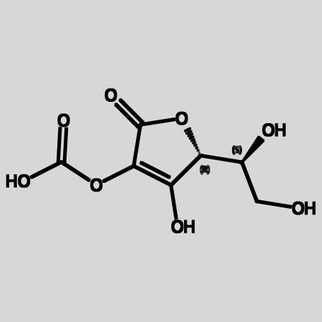 O=C(O)OC1=C(O)[C@@H]([C@@H](O)CO)OC1=O